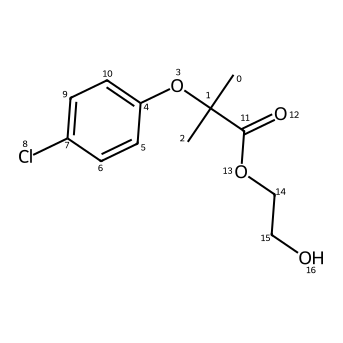 CC(C)(Oc1ccc(Cl)cc1)C(=O)OCCO